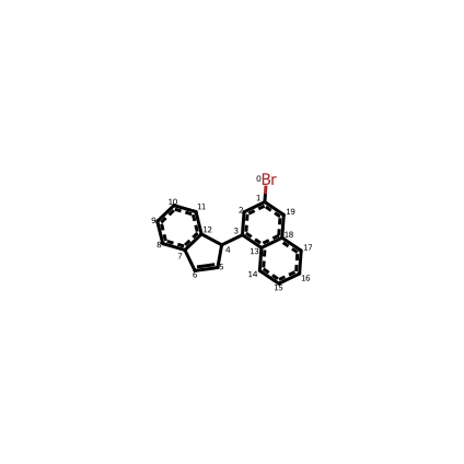 Brc1cc(C2C=Cc3ccccc32)c2ccccc2c1